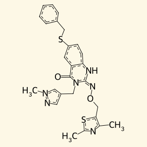 Cc1nc(C)c(CON=c2[nH]c3ccc(SCc4ccccc4)cc3c(=O)n2Cc2cnn(C)c2)s1